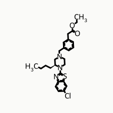 CCCC[C@H]1CN(Cc2cccc(CC(=O)OCC)c2)CCN1c1nc2ccc(Cl)cc2s1